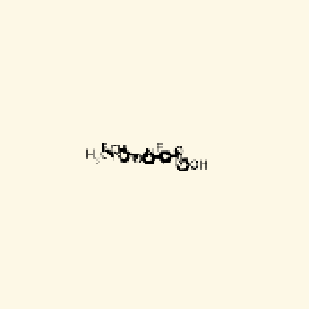 CC(C)(F)CN1CCC(COc2ccc(-c3ccc(C(=O)N4CCCC(O)C4)cc3F)nc2)CC1